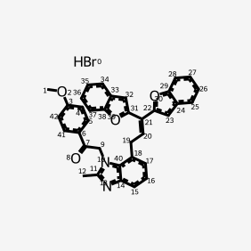 Br.COc1ccc(C(=O)Cn2c(C)nc3cccc(CC=C(c4cc5ccccc5o4)c4cc5ccccc5o4)c32)cc1